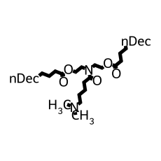 CCCCCCCCCCCCCC(=O)OCCN(CCOC(=O)CCCCCCCCCCCCC)C(=O)CCCCN(C)C